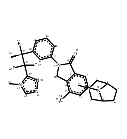 CN1CC2CCC(C1)N2c1cc2c(c(C(F)(F)F)c1)CN(c1cccc([C@@](C)(F)C(F)(F)c3nncn3C)c1)C2=O